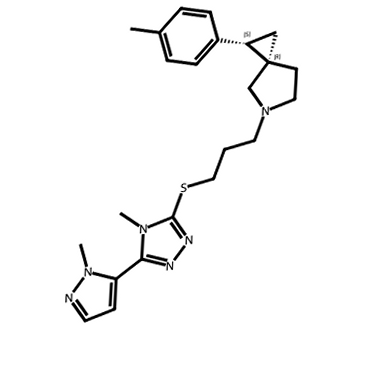 Cc1ccc([C@@H]2C[C@@]23CCN(CCCSc2nnc(-c4ccnn4C)n2C)C3)cc1